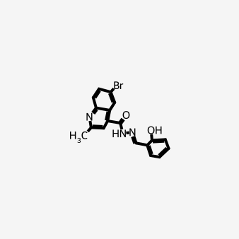 Cc1cc(C(=O)NN=Cc2ccccc2O)c2cc(Br)ccc2n1